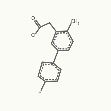 Cc1ccc(-c2ccc(F)cc2)cc1CC(=O)Cl